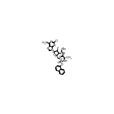 C[C@H](NP(=O)(OC[C@H]1O[C@@H](n2cnc3c(N)nc(Cl)nc32)C(F)C1O)Oc1cccc2ccccc12)C(=O)OCC(C)(C)C